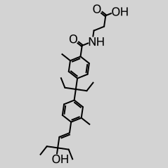 CCC(O)(C=Cc1ccc(C(CC)(CC)c2ccc(C(=O)NCCC(=O)O)c(C)c2)cc1C)CC